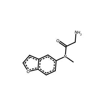 CN(C(=O)CN)c1ccc2occc2c1